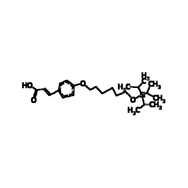 CC(C)[Si](OCCCCCCOc1ccc(/C=C/C(=O)O)cc1)(C(C)C)C(C)C